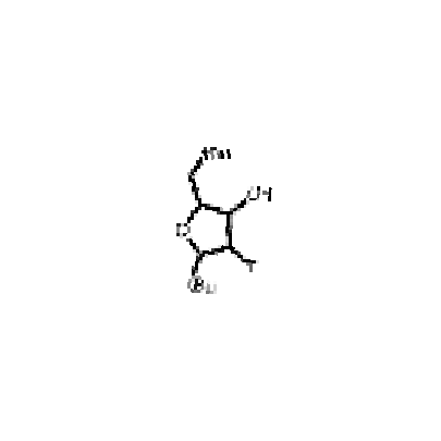 CC(C)(C)CC1OC(C(C)(C)C)C(F)C1O